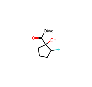 COC(=O)C1(O)CCCC1F